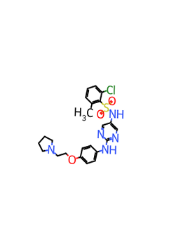 Cc1cccc(Cl)c1S(=O)(=O)Nc1cnc(Nc2ccc(OCCN3CCCC3)cc2)nc1